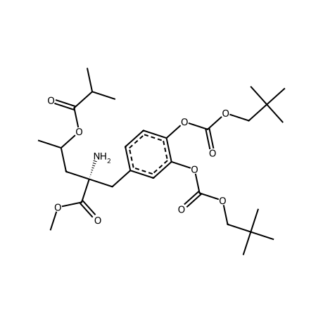 COC(=O)[C@](N)(Cc1ccc(OC(=O)OCC(C)(C)C)c(OC(=O)OCC(C)(C)C)c1)CC(C)OC(=O)C(C)C